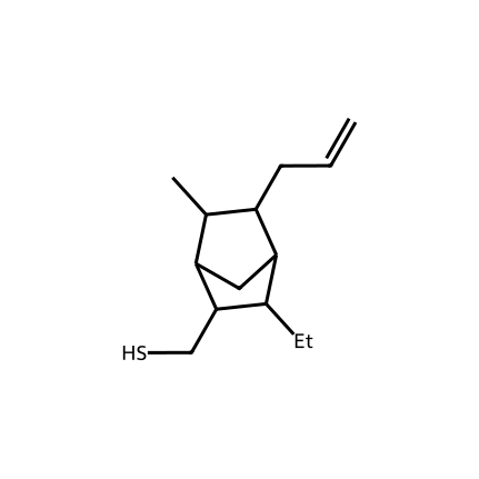 C=CCC1C(C)C2CC1C(CC)C2CS